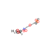 CC1(C)OCc2cc([C@@H]3CN(CCCCCCOCCCCc4cccc(S(=O)(=O)C5CCCC5)c4)C(=O)O3)ccc2O1